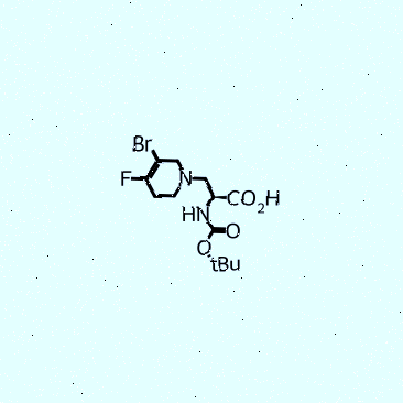 CC(C)(C)OC(=O)N[C@@H](CN1CCC(F)=C(Br)C1)C(=O)O